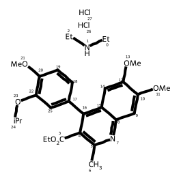 CCNCC.CCOC(=O)c1c(C)nc2cc(OC)c(OC)cc2c1-c1ccc(OC)c(OC(C)C)c1.Cl.Cl